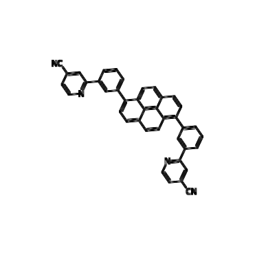 N#Cc1ccnc(-c2cccc(-c3ccc4ccc5c(-c6cccc(-c7cc(C#N)ccn7)c6)ccc6ccc3c4c65)c2)c1